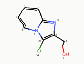 OCc1nc2ccccn2c1Cl